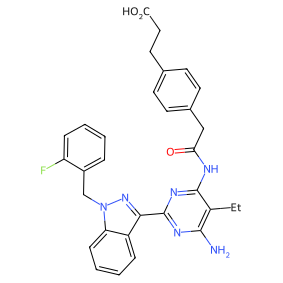 CCc1c(N)nc(-c2nn(Cc3ccccc3F)c3ccccc23)nc1NC(=O)Cc1ccc(CCC(=O)O)cc1